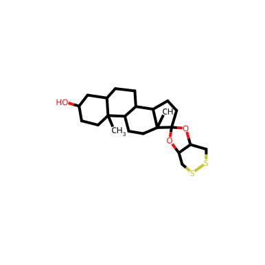 CC12CCC(O)CC1CCC1C2CCC2(C)C1CCC21OC2CSSCC2O1